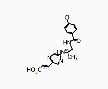 C[C@H](CNC(=O)c1ccc(Cl)cc1)Nc1cnc(/C=C/C(=O)O)cn1